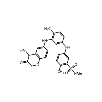 CCCN1C(=O)COc2ccc(Nc3nc(Nc4ccc(C)c(S(=O)(=O)NC)c4)ncc3C)cc21